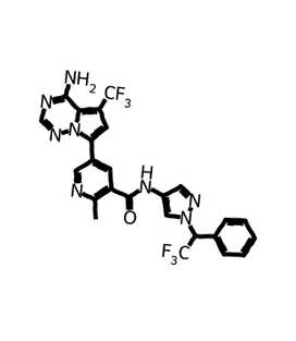 Cc1ncc(-c2cc(C(F)(F)F)c3c(N)ncnn23)cc1C(=O)Nc1cnn(C(c2ccccc2)C(F)(F)F)c1